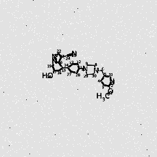 COc1ccc(CN2CCN(c3ccc(-c4cc(O)cn5ncc(C#N)c45)cc3)CC2)cn1